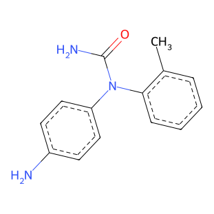 Cc1ccccc1N(C(N)=O)c1ccc(N)cc1